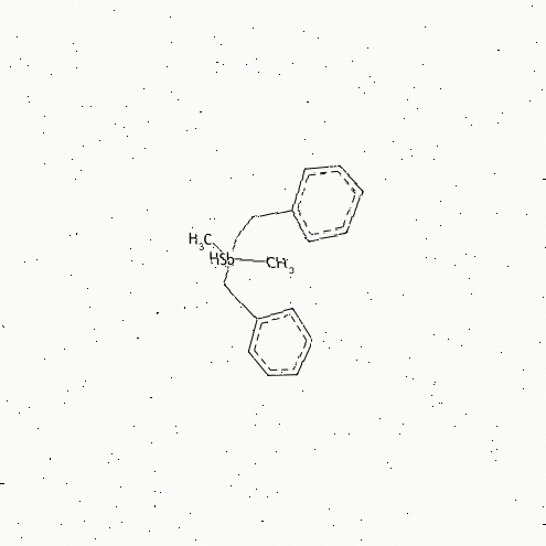 [CH3][SbH]([CH3])([CH2]c1ccccc1)[CH2]c1ccccc1